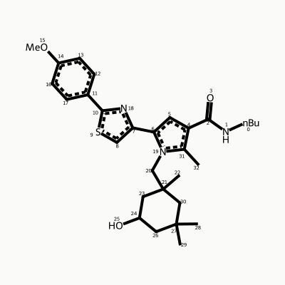 CCCCNC(=O)c1cc(-c2csc(-c3ccc(OC)cc3)n2)n(CC2(C)CC(O)CC(C)(C)C2)c1C